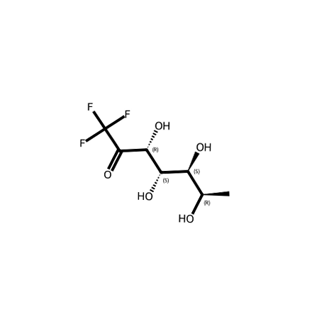 C[C@@H](O)[C@H](O)[C@H](O)[C@@H](O)C(=O)C(F)(F)F